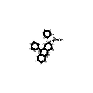 OB(O)Oc1ccccc1.c1ccc(-c2c3ccccc3cc3ccccc23)cc1